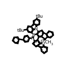 CC(C)(C)c1ccc2c(c1)c1cc(C(C)(C)C)cc3c1n2-c1cc2c(c4c1B3N(c1ccc(-c3ccccc3)cc1)c1ccc3c(oc5ccccc53)c1-4)C(C)(C)c1ccccc1-2